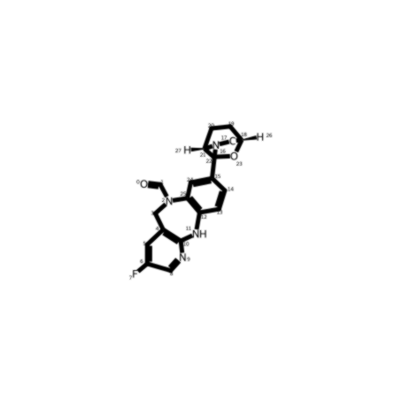 O=CN1Cc2cc(F)cnc2Nc2ccc(N3C[C@@H]4CC[C@H]3CO4)cc21